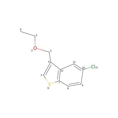 C[CH]OCc1csc2ccc(Cl)cc12